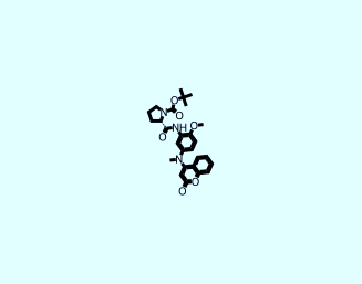 COc1ccc(N(C)c2cc(=O)oc3ccccc23)cc1NC(=O)[C@@H]1CCCN1C(=O)OC(C)(C)C